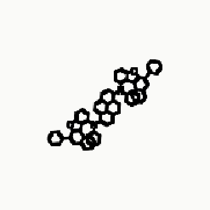 c1ccc(-c2cc3ccccc3c3c2oc2cccc(N(c4ccccc4)c4ccc5ccc6c(N(c7ccccc7)c7cccc8oc9c(-c%10ccccc%10)cc%10ccccc%10c9c78)ccc7ccc4c5c76)c23)cc1